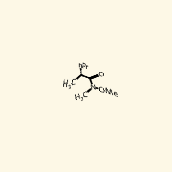 CCC[C@H](C)C(=O)N(C)OC